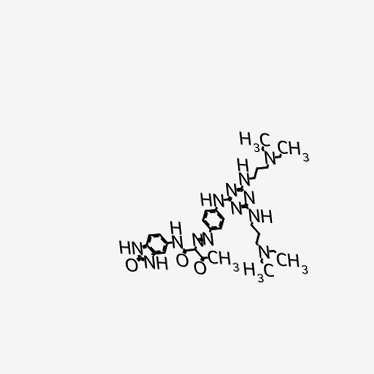 CCN(CC)CCCNc1nc(NCCCN(CC)CC)nc(Nc2ccc(N=NC(C(C)=O)C(=O)Nc3ccc4[nH]c(=O)[nH]c4c3)cc2)n1